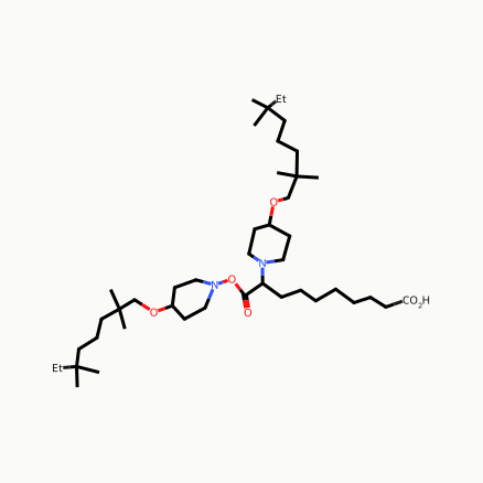 CCC(C)(C)CCCC(C)(C)COC1CCN(OC(=O)C(CCCCCCCC(=O)O)N2CCC(OCC(C)(C)CCCC(C)(C)CC)CC2)CC1